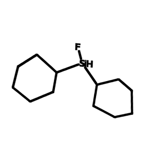 F[SiH](C1CCCCC1)C1CCCCC1